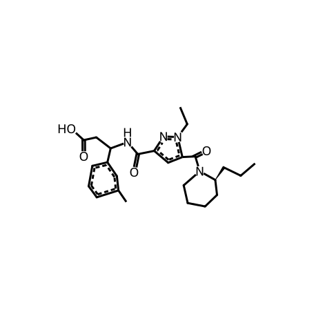 CCC[C@H]1CCCCN1C(=O)c1cc(C(=O)NC(CC(=O)O)c2cccc(C)c2)nn1CC